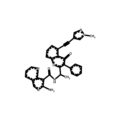 CC(NC(=O)c1c(N)ncc2cccnc12)c1oc2cccc(C#Cc3cnn(C)c3)c2c(=O)c1-c1ccccc1